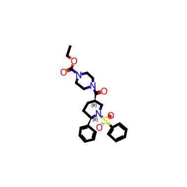 CCOC(=O)N1CCN(C(=O)[C@@H]2CC[C@H](c3ccccc3)N(S(=O)(=O)c3ccccc3)C2)CC1